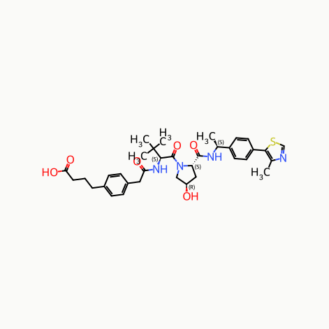 Cc1ncsc1-c1ccc([C@H](C)NC(=O)[C@@H]2C[C@@H](O)CN2C(=O)[C@@H](NC(=O)Cc2ccc(CCCC(=O)O)cc2)C(C)(C)C)cc1